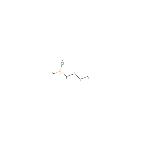 CCCCP(C)Cl